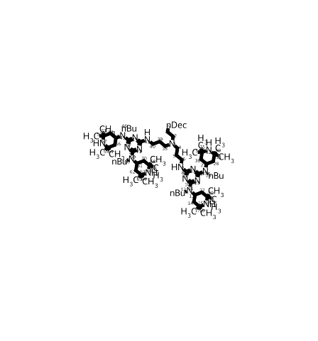 CCCCCCCCCCCCN(CCCNc1nc(N(CCCC)C2CC(C)(C)NC(C)(C)C2)nc(N(CCCC)C2CC(C)(C)NC(C)(C)C2)n1)CCCNc1nc(N(CCCC)C2CC(C)(C)NC(C)(C)C2)nc(N(CCCC)C2CC(C)(C)NC(C)(C)C2)n1